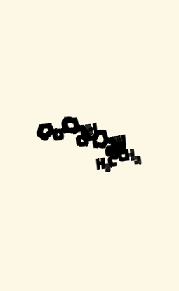 CC(C)S(=O)(=O)NC1CCC(C(=O)Nc2cccc(OC3CCCC3)c2)CC1